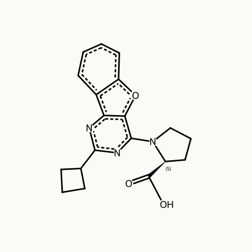 O=C(O)[C@@H]1CCCN1c1nc(C2CCC2)nc2c1oc1ccccc12